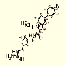 Cl.Cl.N=C(N)NCCCC(N)CNC(=O)c1nc2cc(-c3ccc(F)cc3)ccc2[nH]1